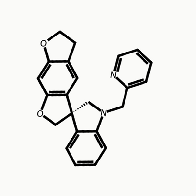 c1ccc(CN2C[C@@]3(COc4cc5c(cc43)CCO5)c3ccccc32)nc1